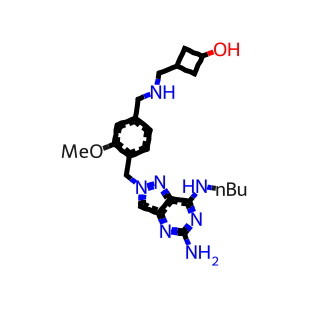 CCCCNc1nc(N)nc2cn(Cc3ccc(CNCC4CC(O)C4)cc3OC)nc12